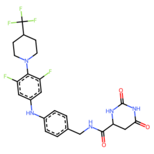 O=C1CC(C(=O)NCc2ccc(Nc3cc(F)c(N4CCC(C(F)(F)F)CC4)c(F)c3)cc2)NC(=O)N1